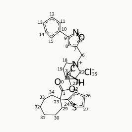 O=C(O[C@H]1C[N+]2(Cc3cc(-c4ccccc4)no3)CCC1CC2)C1(c2cccs2)CCCCCC1.[Cl-]